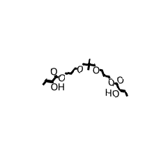 CC=C(O)C(=O)OCCCOCC(C)(C)COCCCOC(=O)C(O)=CC